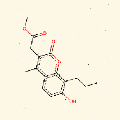 CCCc1c(O)ccc2c(C)c(CC(=O)OC)c(=O)oc12